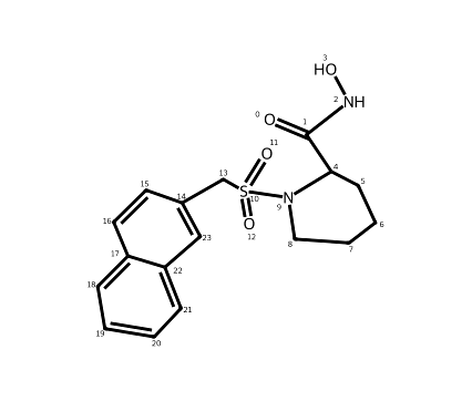 O=C(NO)C1CCCCN1S(=O)(=O)Cc1ccc2ccccc2c1